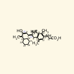 C=C(/C(O)=C\C=C(/N)Cc1c(C)cc(NCC(=O)O)c(C)c1C)C1CCCCC1